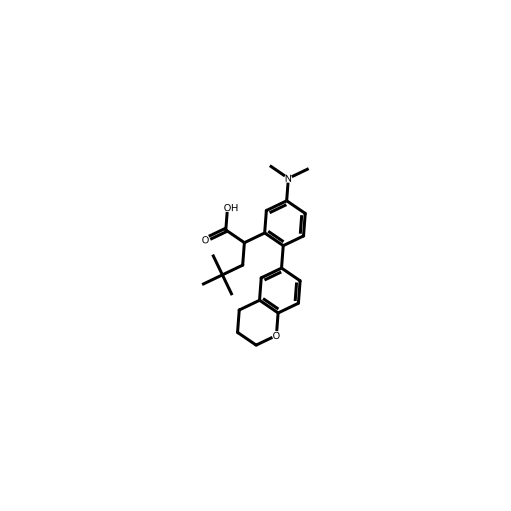 CN(C)c1ccc(-c2ccc3c(c2)CCCO3)c(C(CC(C)(C)C)C(=O)O)c1